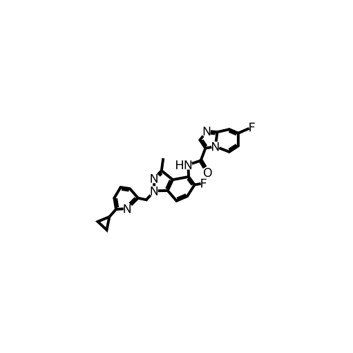 Cc1nn(Cc2cccc(C3CC3)n2)c2ccc(F)c(NC(=O)c3cnc4cc(F)ccn34)c12